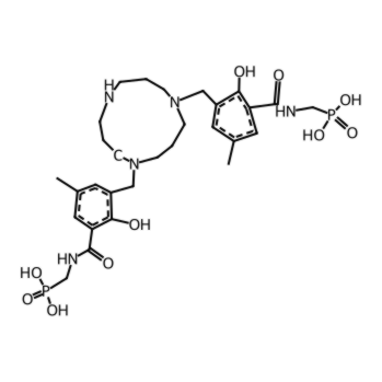 Cc1cc(CN2CCCNCCCN(Cc3cc(C)cc(C(=O)NCP(=O)(O)O)c3O)CCC2)c(O)c(C(=O)NCP(=O)(O)O)c1